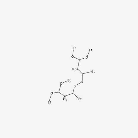 CCOC(OCC)[SiH2]C(CC)SSC(CC)[SiH2]C(OCC)OCC